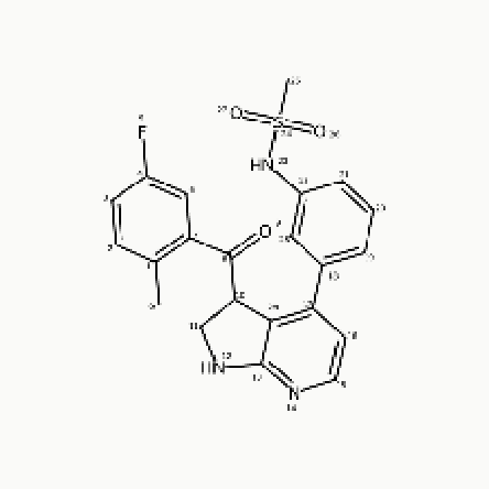 Cc1ccc(F)cc1C(=O)C1CNc2nccc(-c3cccc(NS(C)(=O)=O)c3)c21